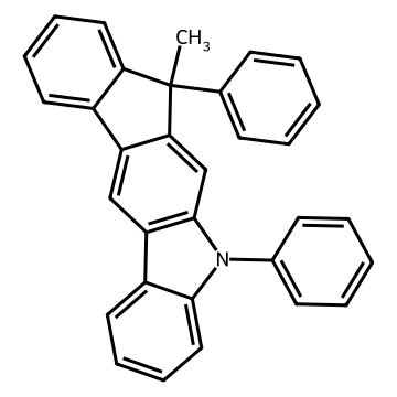 CC1(c2ccccc2)c2ccccc2-c2cc3c4ccccc4n(-c4ccccc4)c3cc21